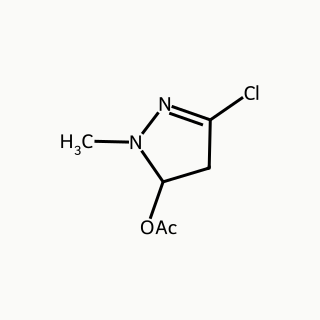 CC(=O)OC1CC(Cl)=NN1C